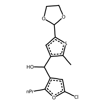 CCCc1oc(Cl)cc1C(O)c1cc(C2OCCO2)sc1C